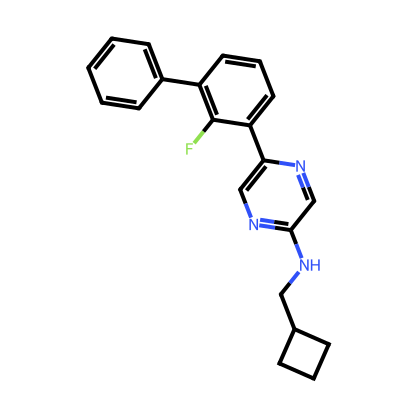 Fc1c(-c2ccccc2)cccc1-c1cnc(NCC2CCC2)cn1